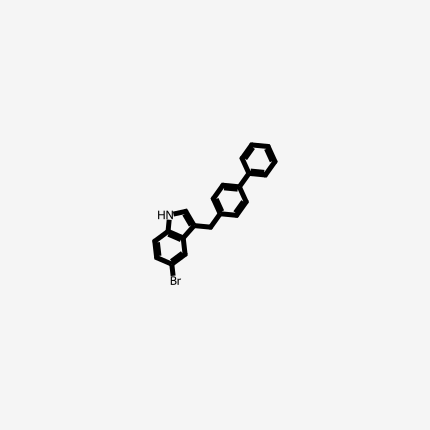 Brc1ccc2[nH]cc(Cc3ccc(-c4ccccc4)cc3)c2c1